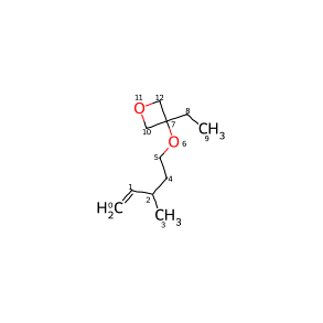 C=CC(C)CCOC1(CC)COC1